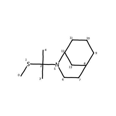 CSC(C)(C)N1CCC2CCCC1C2